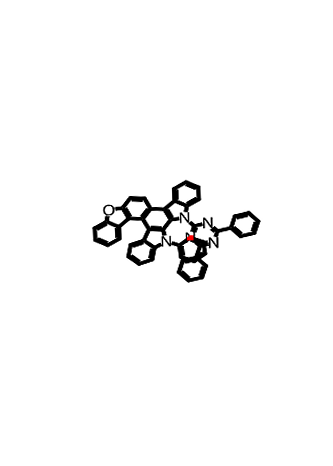 c1ccc(-c2nc(-c3ccccc3)nc(-n3c4ccccc4c4c5ccc6oc7ccccc7c6c5c5c6ccccc6n(-c6ccccc6)c5c43)n2)cc1